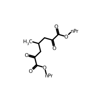 CCCOC(=O)C(=O)CC(C)CC(=O)C(=O)OCCC